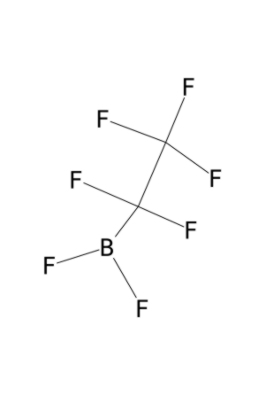 FB(F)C(F)(F)C(F)(F)F